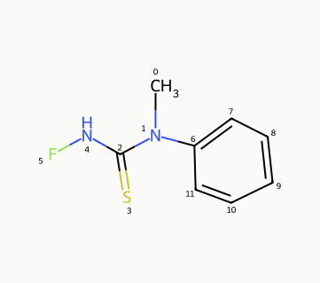 CN(C(=S)NF)c1ccccc1